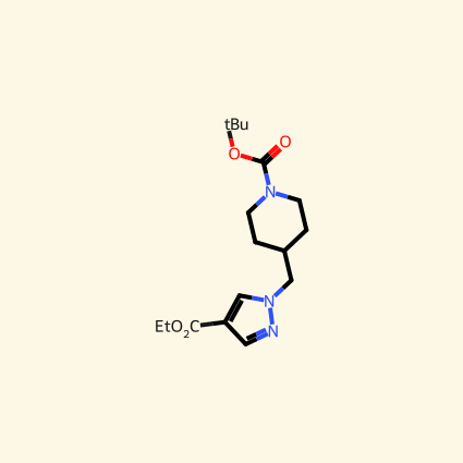 CCOC(=O)c1cnn(CC2CCN(C(=O)OC(C)(C)C)CC2)c1